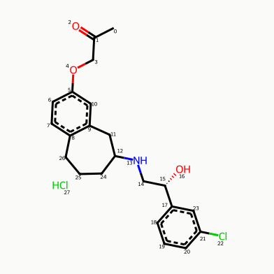 CC(=O)COc1ccc2c(c1)CC(NC[C@H](O)c1cccc(Cl)c1)CCC2.Cl